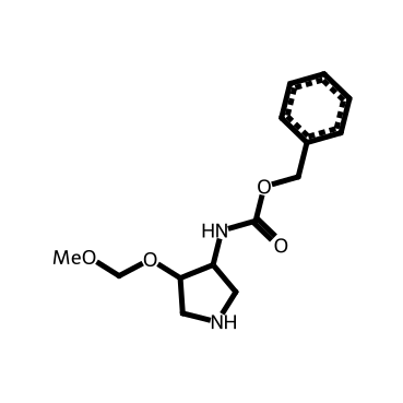 COCOC1CNCC1NC(=O)OCc1ccccc1